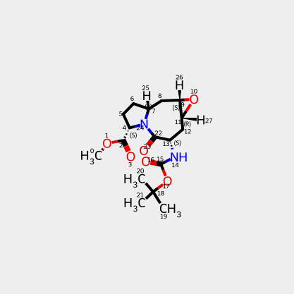 COC(=O)[C@@H]1CC[C@@H]2C[C@@H]3O[C@@H]3C[C@H](NC(=O)OC(C)(C)C)C(=O)N21